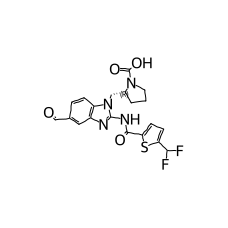 O=Cc1ccc2c(c1)nc(NC(=O)c1ccc(C(F)F)s1)n2C[C@H]1CCCN1C(=O)O